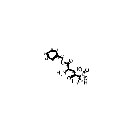 CC(C(=O)CC(N)C(=O)OCc1ccccc1)P(=O)(O)O